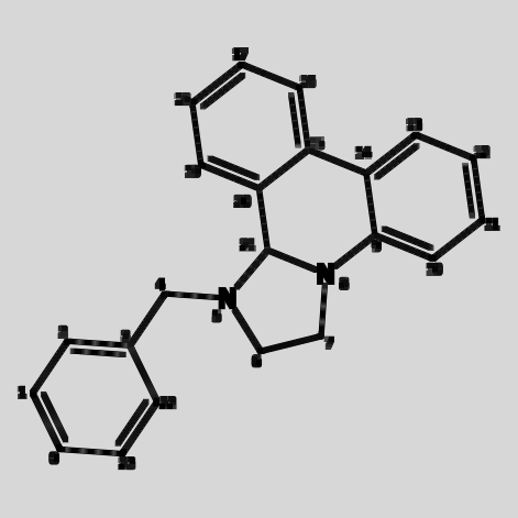 c1ccc(CN2CCN3c4ccccc4-c4ccccc4C23)cc1